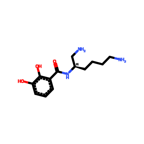 NCCCC[C@H](CN)NC(=O)c1cccc(O)c1O